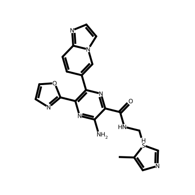 CC1=CN=C[SH]1CNC(=O)c1nc(-c2ccc3nccn3c2)c(-c2ncco2)nc1N